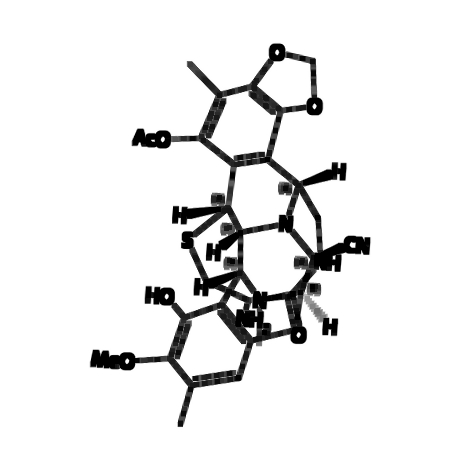 COc1c(C)cc2c(c1O)[C@@H]1[C@@H]3[C@@H]4SCC(N)C(=O)NC[C@@H](c5c6c(c(C)c(OC(C)=O)c54)OCO6)N3[C@@H](C#N)[C@@H](C2)N1C